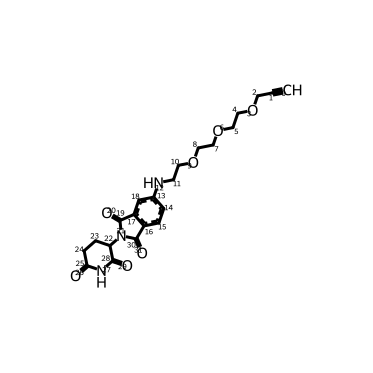 C#CCOCCOCCOCCNc1ccc2c(c1)C(=O)N(C1CCC(=O)NC1=O)C2=O